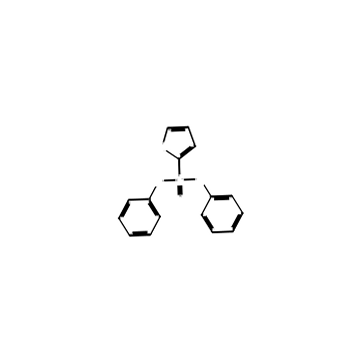 O=P(Oc1ccccc1)(Oc1ccccc1)c1cccs1